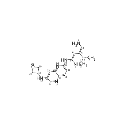 CC(C)C(=C/N)/C=C(\N)Nc1ccc2ncc(NC3COC3)cc2n1